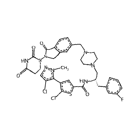 Cn1ncc(Cl)c1-c1cc(C(=O)N[C@@H](Cc2cccc(F)c2)CN2CCN(Cc3ccc4c(c3)CN(N3CCC(=O)NC3=O)C4=O)CC2)sc1Cl